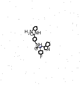 Nc1ccccc1NC(=O)c1ccc(CNC(=O)/C(=C/c2ccnc3ccccc23)c2ccc(F)cc2)cc1